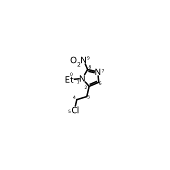 CCn1c(CCCl)cnc1[N+](=O)[O-]